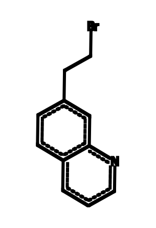 BrCCc1ccc2cccnc2c1